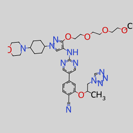 COCCOCCOCCOc1nn(C2CCC(N3CCOCC3)CC2)cc1Nc1ncc(-c2ccc(C#N)c(OC(C)Cn3cnnn3)c2)cn1